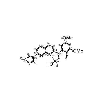 COc1cc(OC)c(F)c(N(CC(C)(C)O)c2ccc3ncc(-c4cnn(C)c4)nc3n2)c1